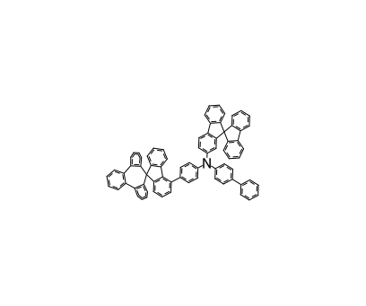 c1ccc(-c2ccc(N(c3ccc(-c4cccc5c4-c4ccccc4C54c5ccccc5-c5ccccc5-c5ccccc54)cc3)c3ccc4c(c3)C3(c5ccccc5-c5ccccc53)c3ccccc3-4)cc2)cc1